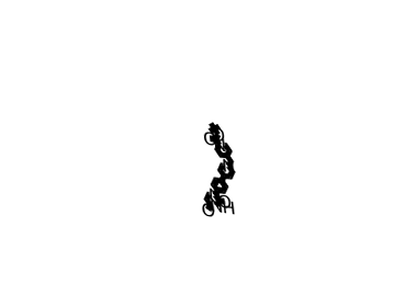 CC(C)(C)OC(=O)N1CCC(CN2CCC(c3ccc(N4CCC(=O)NC4=O)cc3)CC2)CC1